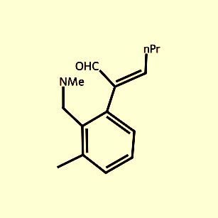 CCC/C=C(\C=O)c1cccc(C)c1CNC